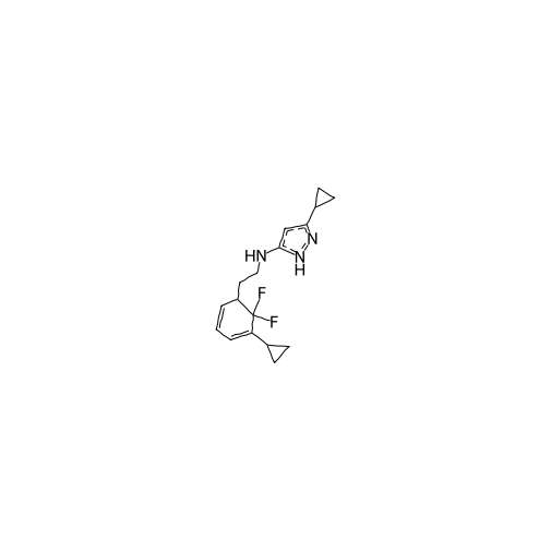 FC1(F)C(C2CC2)=CC=CC1CCNc1cc(C2CC2)n[nH]1